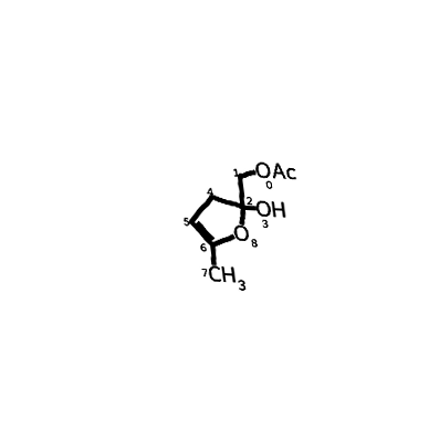 CC(=O)OCC1(O)CC=C(C)O1